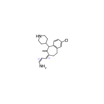 C=C1/C(=C\C=C/N)CCc2cc(Cl)ccc2C1C1CCNCC1